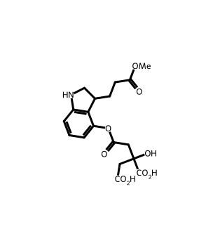 COC(=O)CCC1CNc2cccc(OC(=O)CC(O)(CC(=O)O)C(=O)O)c21